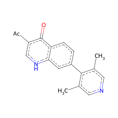 CC(=O)c1c[nH]c2cc(-c3c(C)cncc3C)ccc2c1=O